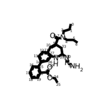 CCCN(CCC)C(=O)C1=Cc2ccc(-c3ccccc3C(=O)OCC)cc2NC(N=NN)C1